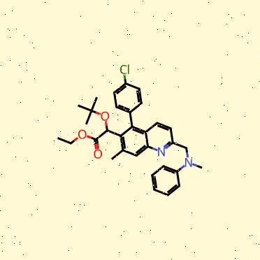 CCOC(=O)C(OC(C)(C)C)c1c(C)cc2nc(CN(C)c3ccccc3)ccc2c1-c1ccc(Cl)cc1